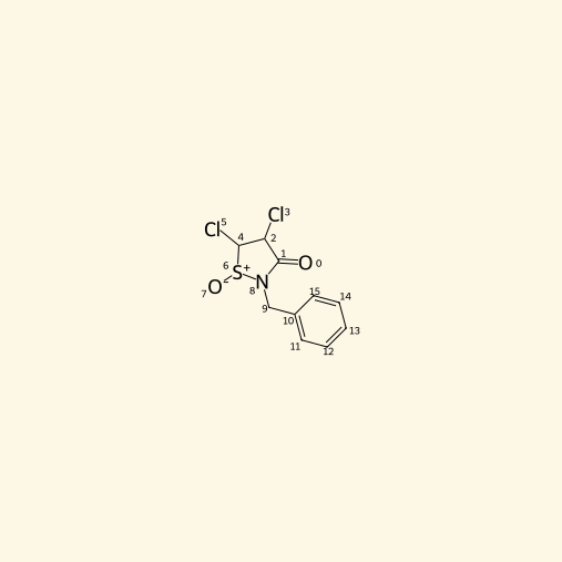 O=C1C(Cl)C(Cl)[S+]([O-])N1Cc1ccccc1